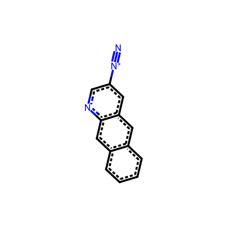 N#[N+]c1cnc2cc3ccccc3cc2c1